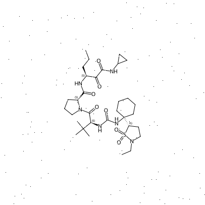 CCC[C@H](NC(=O)[C@@H]1CCCN1C(=O)[C@@H](NC(=O)NC1([C@@H]2CCN(CC)S2(=O)=O)CCCCC1)C(C)(C)C)C(=O)C(=O)NC1CC1